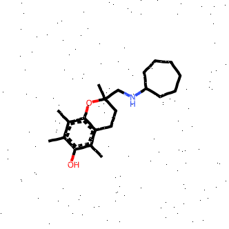 Cc1c(C)c2c(c(C)c1O)CCC(C)(CNC1CCCCCC1)O2